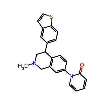 CN1Cc2cc(-n3ccccc3=O)ccc2C(c2ccc3sccc3c2)C1